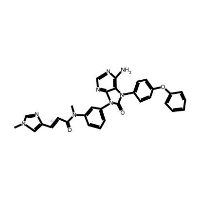 CN(C(=O)/C=C/c1cn(C)cn1)c1cccc(-n2c(=O)n(-c3ccc(Oc4ccccc4)cc3)c3c(N)ncnc32)c1